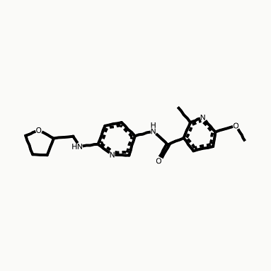 COc1ccc(C(=O)Nc2ccc(NCC3CCCO3)nc2)c(C)n1